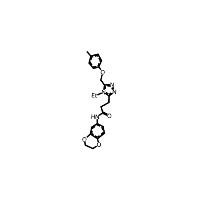 CCn1c(CCC(=O)Nc2ccc3c(c2)OCCO3)nnc1COc1ccc(C)cc1